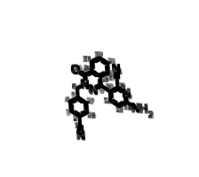 N#Cc1ccc(Cn2nc(-c3ccc(N)nc3C#N)c3ccccc3c2=O)cc1